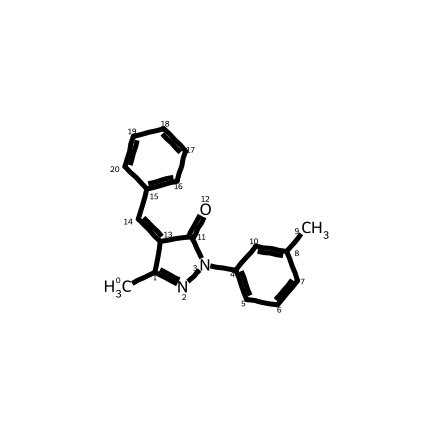 CC1=NN(c2cccc(C)c2)C(=O)C1=Cc1ccccc1